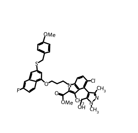 COC(=O)c1c(C)c2c(-c3c(C)nn(C)c3CO)c(Cl)ccc2n1CCCOc1cc(SCc2ccc(OC)cc2)cc2cc(F)ccc12